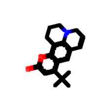 CC(C)(C)c1cc(=O)oc2c3c4c(cc12)C=CCN4CCC3